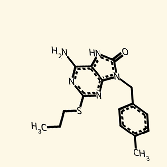 CCCSc1nc(N)c2[nH]c(=O)n(Cc3ccc(C)cc3)c2n1